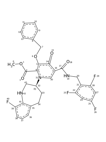 COC(=O)c1c(OCc2ccccc2)c(=O)c(C(=O)NCc2c(F)cc(F)cc2F)cn1[C@H]1CCc2cccc(F)c2NC1